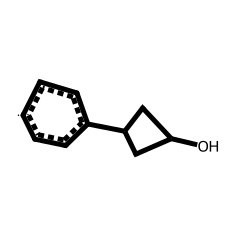 OC1CC(c2cc[c]cc2)C1